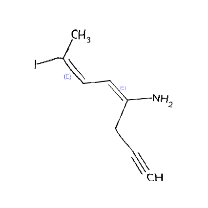 C#CC/C(N)=C\C=C(/C)I